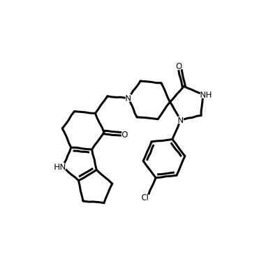 O=C1c2c([nH]c3c2CCC3)CCC1CN1CCC2(CC1)C(=O)NCN2c1ccc(Cl)cc1